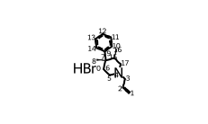 Br.C=CCN1CC[C@](C)(c2ccccc2)[C@@H](C)C1